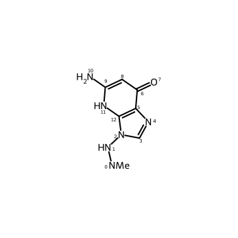 CNNn1cnc2c(=O)cc(N)[nH]c21